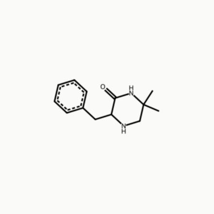 CC1(C)CNC(Cc2ccccc2)C(=O)N1